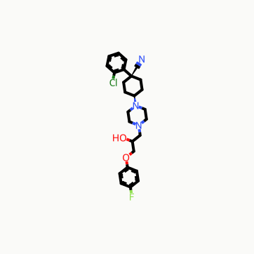 N#C[C@]1(c2ccccc2Cl)CC[C@H](N2CCN(CC(O)COc3ccc(F)cc3)CC2)CC1